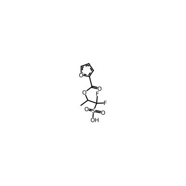 CC(OC(=O)c1ccco1)C(F)(F)S(=O)(=O)O